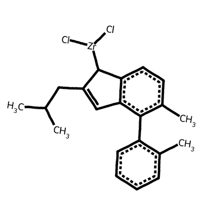 Cc1ccccc1-c1c(C)ccc2c1C=C(CC(C)C)[CH]2[Zr]([Cl])[Cl]